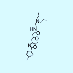 CCCN(CCC)CCNC(=O)CC(=O)Cc1nc(-c2ccc(C)cc2)oc1C